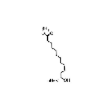 BOC(=O)CCCCCCC/C=C\C[C@H](O)CCCCCC